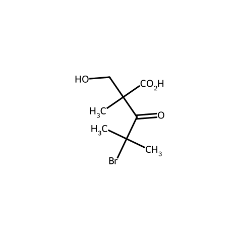 CC(C)(Br)C(=O)C(C)(CO)C(=O)O